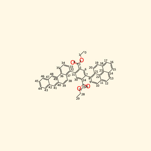 CCOC(=O)c1cc(-c2ccc3ccc4cccc5ccc2c3c45)c(C(=O)OCC)cc1-c1cccc2c1ccc1cc3ccccc3cc12